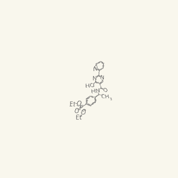 CCOP(=O)(OCC)c1ccc(C(C)NC(=O)c2cnc(-c3ccccn3)nc2O)cc1